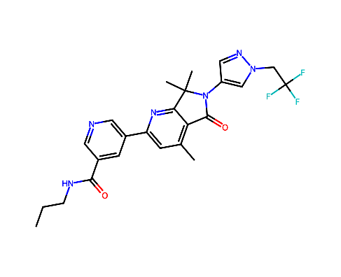 CCCNC(=O)c1cncc(-c2cc(C)c3c(n2)C(C)(C)N(c2cnn(CC(F)(F)F)c2)C3=O)c1